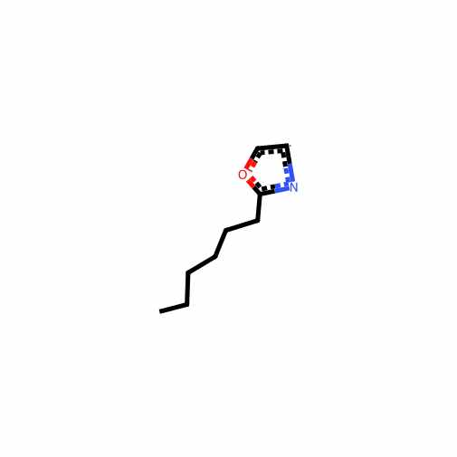 CCCCCCc1n[c]co1